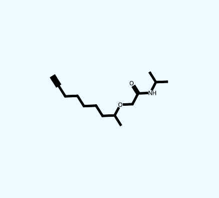 C#CCCCCCC(C)OCC(=O)NC(C)C